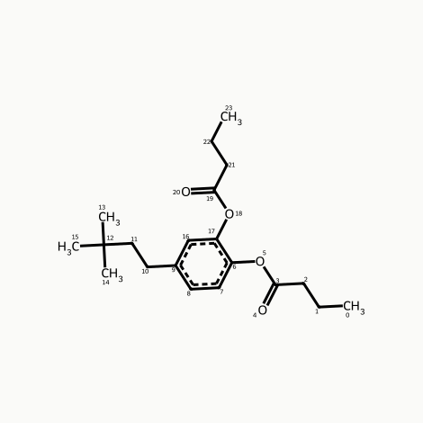 CCCC(=O)Oc1ccc(CCC(C)(C)C)cc1OC(=O)CCC